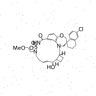 COCCN1[C@@H](C)C/C=C/[C@H](O)[C@@H]2CC[C@H]2CN2C[C@@]3(CCCc4cc(Cl)ccc43)COc3ccc(cc32)C(=O)NS1(=O)=O